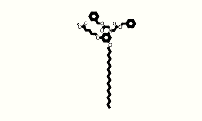 CCCCCCCCCCCCCCCCCCOc1cc(OCCCCC(=O)OC)cc(N(CC(=O)OCc2ccccc2)CC(=O)OCc2ccccc2)c1